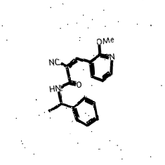 COc1ncccc1C=C(C#N)C(=O)NC(C)c1ccccc1